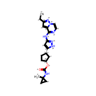 CC1(NC(=O)O[C@@H]2CC[C@H](c3cc(Nc4nccn5nc(CC#N)cc45)n[nH]3)C2)CC1